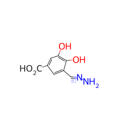 N/N=C/c1cc(C(=O)O)cc(O)c1O